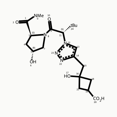 CNC(=O)[C@@H]1C[C@@H](O)CN1C(=O)[C@@H](n1cc(CC2(O)CC(C(=O)O)C2)nn1)C(C)(C)C